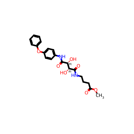 COC(=O)CCCNC(=O)[C@H](O)[C@@H](O)C(=O)Nc1ccc(Oc2ccccc2)cc1